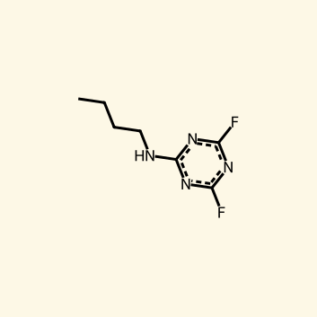 CCCCNc1nc(F)nc(F)n1